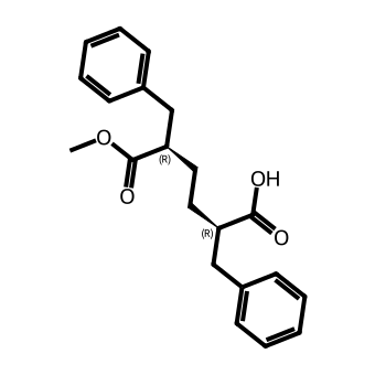 COC(=O)[C@H](CC[C@H](Cc1ccccc1)C(=O)O)Cc1ccccc1